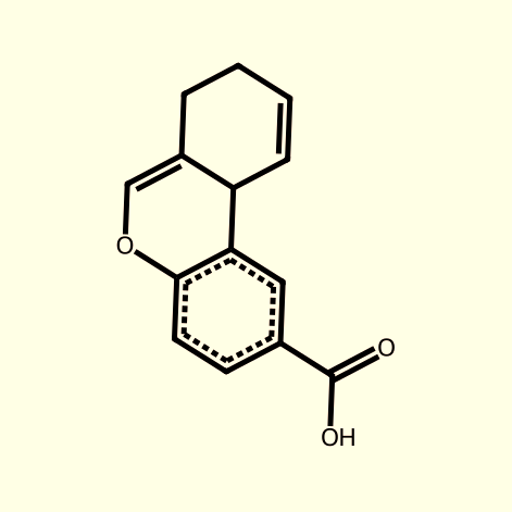 O=C(O)c1ccc2c(c1)C1C=CCCC1=CO2